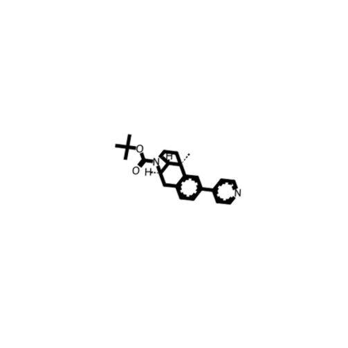 C[C@@H]1[C@H]2Cc3ccc(-c4ccncc4)cc3[C@]1(C)CCN2C(=O)OC(C)(C)C